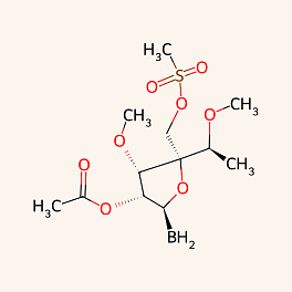 B[C@@H]1O[C@](COS(C)(=O)=O)([C@H](C)OC)[C@@H](OC)[C@H]1OC(C)=O